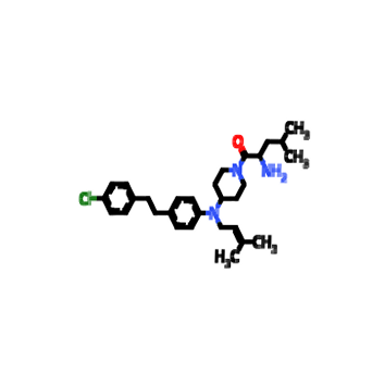 CC(C)=CCN(c1ccc(CCc2ccc(Cl)cc2)cc1)C1CCN(C(=O)[C@H](N)CC(C)C)CC1